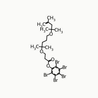 C=C(C)CC(C)(C)OCCCC(C)(C)OCCC(=O)Oc1c(Br)c(Br)c(Br)c(Br)c1Br